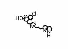 O=C(O)CC(Cc1csc(CCCc2ccc3c(n2)NCCC3)n1)c1ccc(Cl)cc1